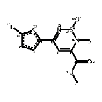 COC(=O)C1=CC(c2ccc(F)s2)=N[S+]([O-])N1C